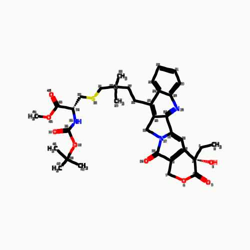 CC[C@@]1(O)C(=O)OCc2c1cc1n(c2=O)Cc2c-1nc1ccccc1c2CC[Si](C)(C)CSC[C@H](NC(=O)OC(C)(C)C)C(=O)OC